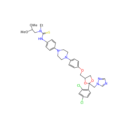 CCN(CC(OC)OC)C(=S)Nc1ccc(N2CCN(c3ccc(OCC4COC(Cn5cncn5)(c5ccc(Cl)cc5Cl)O4)cc3)CC2)cc1